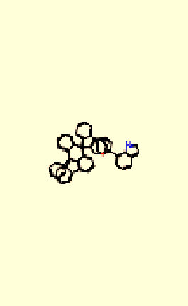 C1=CCCC(C2(c3ccccc3-c3ccc(C4=CC=CC5=CC=NC54)cc3)c3ccccc3C3(c4ccccc4)c4c(cccc42)C2=CC=CCC23)=C1